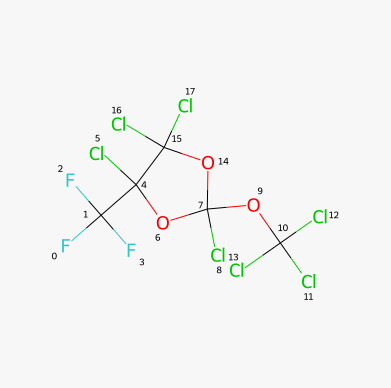 FC(F)(F)C1(Cl)OC(Cl)(OC(Cl)(Cl)Cl)OC1(Cl)Cl